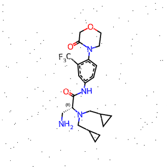 NC[C@H](C(=O)Nc1ccc(N2CCOCC2=O)c(C(F)(F)F)c1)N(CC1CC1)CC1CC1